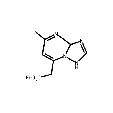 CCOC(=O)CC1=CC(C)=NC2N=CNN12